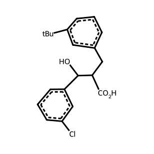 CC(C)(C)c1cccc(CC(C(=O)O)C(O)c2cccc(Cl)c2)c1